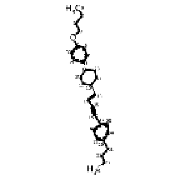 CCCCOc1ccc([C@H]2CC[C@H](C=CC#Cc3ccc(CCCC)cc3)CC2)cc1